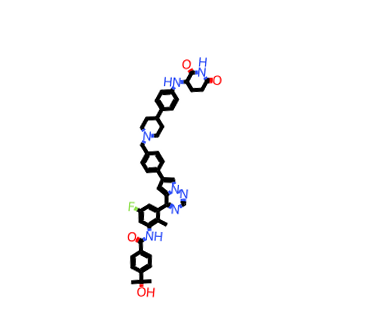 Cc1c(NC(=O)c2ccc(C(C)(C)O)cc2)cc(F)cc1-c1ncnn2cc(-c3ccc(CN4CCC(c5ccc(NC6CCC(=O)NC6=O)cc5)CC4)cc3)cc12